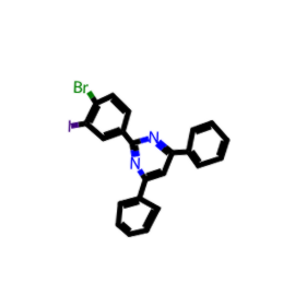 Brc1ccc(-c2nc(-c3ccccc3)cc(-c3ccccc3)n2)cc1I